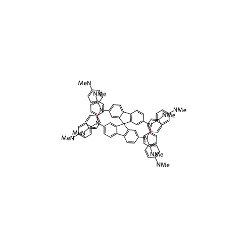 CNc1ccc(N(c2ccc(NC)cc2)c2ccc3c(c2)C2(c4cc(N(c5ccc(NC)cc5)c5ccc(NC)cc5)ccc4-3)c3cc(N(c4ccc(NC)cc4)c4ccc(NC)cc4)ccc3-c3ccc(N(c4ccc(NC)cc4)c4ccc(NC)cc4)cc32)cc1